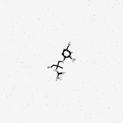 CC(C)CC(C)(COc1ccc(Br)cc1C#N)OC(N)=O